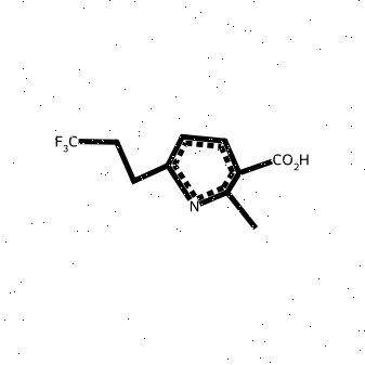 Cc1nc(CCC(F)(F)F)ccc1C(=O)O